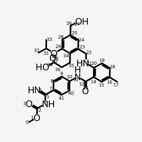 COC(=O)NC(=N)c1ccc(NC(=O)c2cc(C)ccc2NCc2cc(CO)cc(OC(C)C)c2CCC(=O)O)cc1